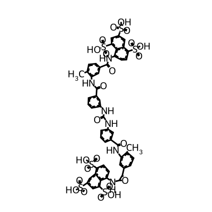 Cc1ccc(C(=O)Nc2ccc(S(=O)(=O)O)c3cc(S(=O)(=O)O)cc(S(=O)(=O)O)c23)cc1NC(=O)c1cccc(NC(=O)Nc2cccc(C(=O)Nc3cc(C4OC4Nc4ccc(S(=O)(=O)O)c5cc(S(=O)(=O)O)cc(S(=O)(=O)O)c45)ccc3C)c2)c1